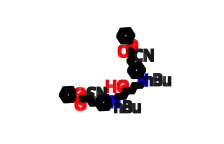 CCCCN(CCCC(O)CCN(CCCC)c1ccc(/C=C(\C#N)C(=O)Oc2ccccc2)cc1)c1ccc(/C=C(\C#N)C(=O)Oc2ccccc2)cc1